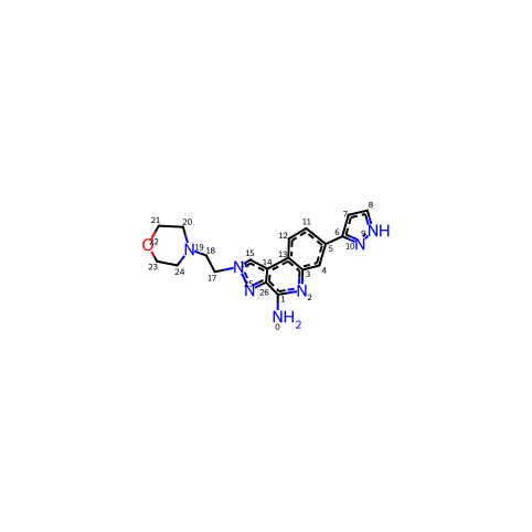 Nc1nc2cc(-c3cc[nH]n3)ccc2c2cn(CCN3CCOCC3)nc12